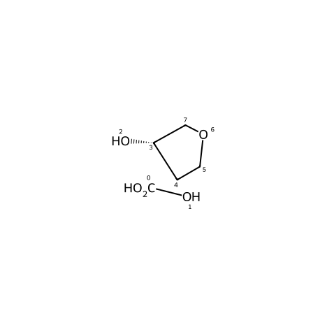 O=C(O)O.O[C@H]1CCOC1